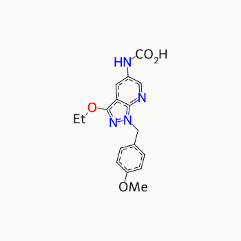 CCOc1nn(Cc2ccc(OC)cc2)c2ncc(NC(=O)O)cc12